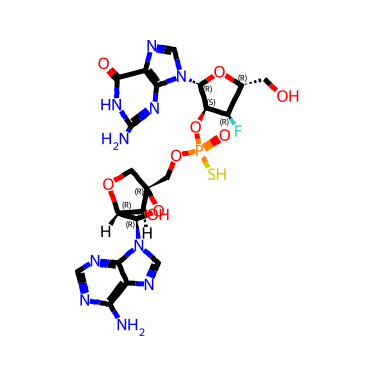 Nc1nc2c(ncn2[C@@H]2O[C@H](CO)[C@@H](F)[C@H]2OP(=O)(S)OC[C@@]23CO[C@@H]([C@H](n4cnc5c(N)ncnc54)O2)[C@@H]3O)c(=O)[nH]1